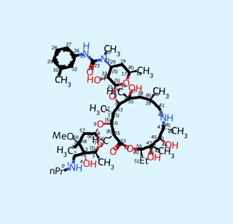 CCCNC[C@]1(O)[C@H](C)O[C@@H](O[C@H]2[C@H](C)[C@@H](O[C@@H]3O[C@H](C)C[C@H](N(C)C(=O)Nc4cccc(C)c4)[C@H]3O)[C@](C)(O)C[C@@H](C)CN[C@H](C)[C@@H](O)[C@](C)(O)[C@@H](CC)OC(=O)[C@@H]2C)C[C@@]1(C)OC